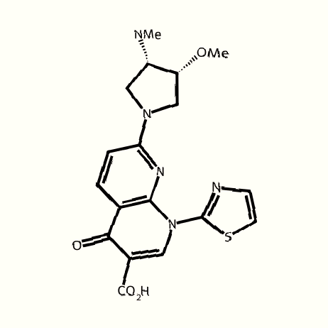 CN[C@H]1CN(c2ccc3c(=O)c(C(=O)O)cn(-c4nccs4)c3n2)C[C@H]1OC